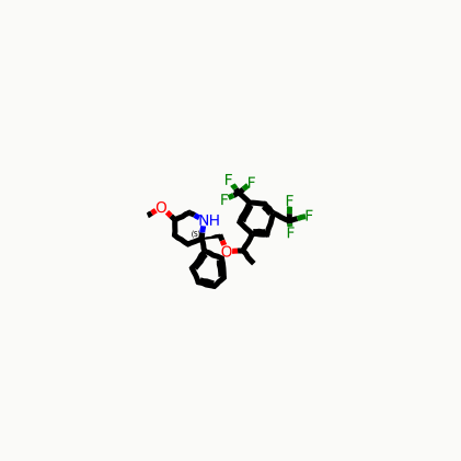 COC1CC[C@@](COC(C)c2cc(C(F)(F)F)cc(C(F)(F)F)c2)(c2ccccc2)NC1